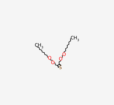 CCCCCCCCCCOCCOCCc1cscc1CCOCCOCCCCCCCCCC